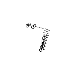 CCCCCC.CCCCCC.CCCCCC.CCCCCC.CCCCCC.CCOC(C)=O.CCOC(C)=O.CCOC(C)=O.CCOC(C)=O.CCOC(C)=O.CCOC(C)=O.CCOC(C)=O